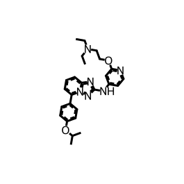 CCN(CC)CCOc1cc(Nc2nc3cccc(-c4ccc(OC(C)C)cc4)n3n2)ccn1